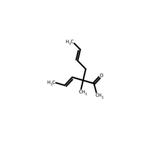 C/C=C/CC(C)(/C=C/C)C(C)=O